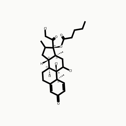 CCCCC(=O)O[C@]1(C(=O)CCl)C(C)C[C@H]2[C@@H]3CCC4=CC(=O)C=C[C@]4(C)[C@@]3(Cl)C(Cl)C[C@@]21C